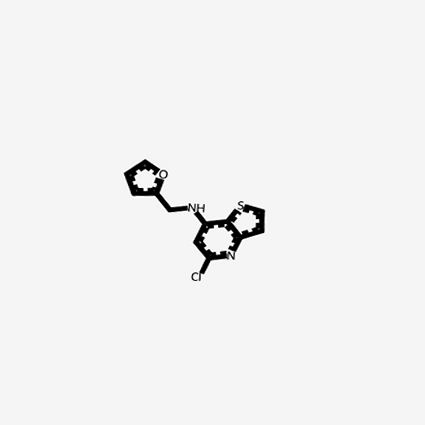 Clc1cc(NCc2ccco2)c2sccc2n1